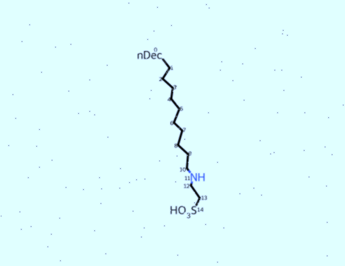 CCCCCCCCCCCCCCCCCCCCNCCS(=O)(=O)O